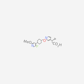 COc1cc(C2CCC(COc3cc(C(CC(=O)O)C4CC4)ccn3)CC2)c(F)cn1